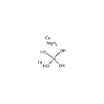 O[Si](O)(O)O.[Cu].[Fe].[MgH2]